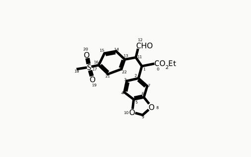 CCOC(=O)C(c1ccc2c(c1)OCO2)C(C=O)c1ccc(S(C)(=O)=O)cc1